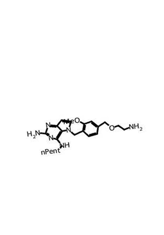 CCCCCNc1nc(N)nc2ccn(Cc3ccc(COCCN)cc3OC)c12